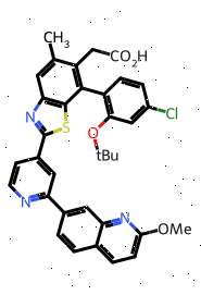 COc1ccc2ccc(-c3cc(-c4nc5cc(C)c(CC(=O)O)c(-c6ccc(Cl)cc6OC(C)(C)C)c5s4)ccn3)cc2n1